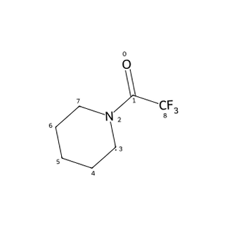 O=C(N1[CH]CCCC1)C(F)(F)F